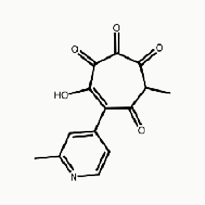 Cc1cc(C2=C(O)C(=O)C(=O)C(=O)C(C)C2=O)ccn1